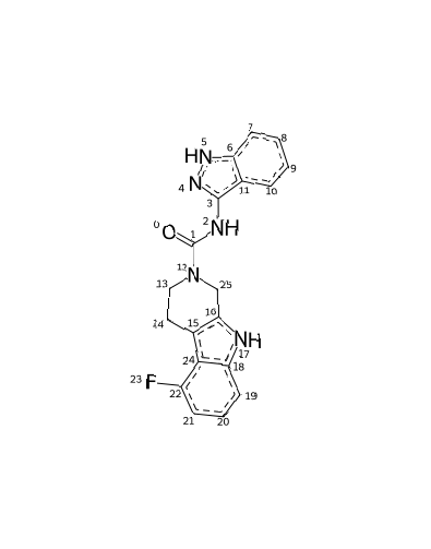 O=C(Nc1n[nH]c2ccccc12)N1CCc2c([nH]c3cccc(F)c23)C1